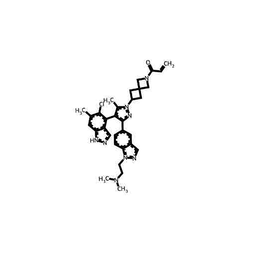 C=CC(=O)N1CC2(CC(n3nc(-c4ccc5c(cnn5CCN(C)C)c4)c(-c4c(Cl)c(C)cc5[nH]ncc45)c3C)C2)C1